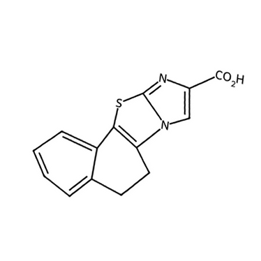 O=C(O)c1cn2c3c(sc2n1)-c1ccccc1CC3